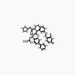 O=C(O)CC(NC(=O)C1c2cc(OCc3ccc(F)cc3F)ccc2CCN1C(=O)CC1CCCC1)c1ccc(-c2ccccc2)cc1